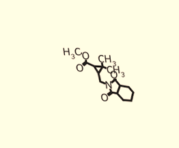 COC(=O)C1C(CN2C(=O)C3CCCCC3C2=O)C1(C)C